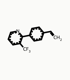 C=Cc1ccc(-c2ncccc2C(F)(F)F)cc1